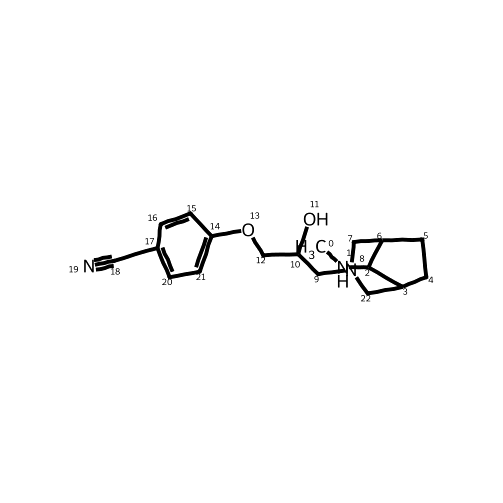 CNC1C2CCC1CN(CC(O)COc1ccc(C#N)cc1)C2